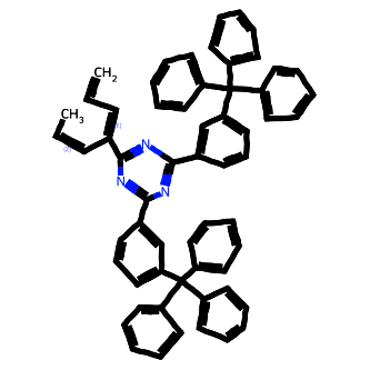 C=C/C=C(\C=C/C)c1nc(-c2cccc(C(c3ccccc3)(c3ccccc3)c3ccccc3)c2)nc(-c2cccc(C(c3ccccc3)(c3ccccc3)c3ccccc3)c2)n1